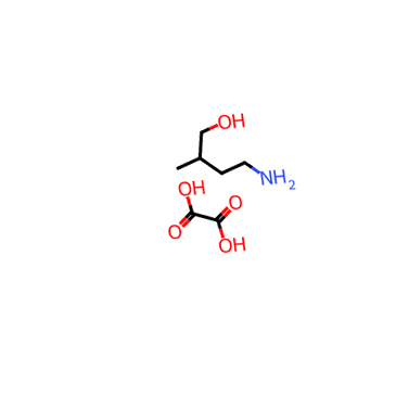 CC(CO)CCN.O=C(O)C(=O)O